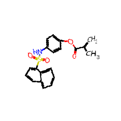 C=C(C)C(=O)Oc1ccc(NS(=O)(=O)c2cccc3ccccc23)cc1